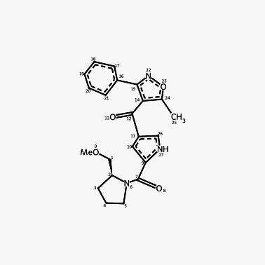 COC[C@@H]1CCCN1C(=O)c1cc(C(=O)c2c(-c3ccccc3)noc2C)c[nH]1